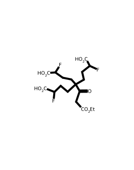 CCOC(=O)CC(=O)C(CCC(F)C(=O)O)(CCC(F)C(=O)O)CCC(F)C(=O)O